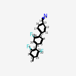 Cc1cc(F)c(-c2ccc(-c3ccc(C#N)cc3)c(F)c2)c(F)c1